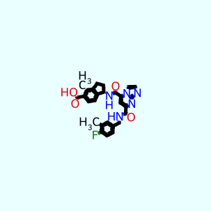 Cc1cc(CNC(=O)c2cc(C(=O)N[C@H]3CCc4c3ccc(C(=O)O)c4C)n3ccnc3n2)ccc1F